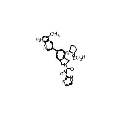 Cc1c[nH]c2ncc(-c3cc4c(c([C@@H]5CCCN5C(=O)O)c3)CN(C(=O)Nc3nccs3)C4)cc12